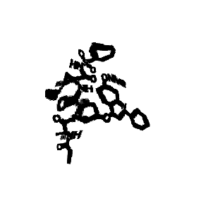 C=CC(=O)N[C@@H](C)C(=O)N1CC(Oc2cc(-c3ccccc3)nc3cc(OC)ccc23)C[C@H]1C(=O)N[C@]1(C(=O)NS(=O)(=O)c2ccccc2)C[C@H]1C=C